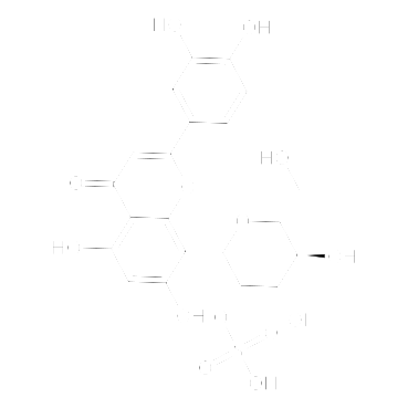 O=c1cc(-c2ccc(O)c(O)c2)oc2c([C@@H]3O[C@H](CO)[C@@H](O)[C@H](O)[C@@H]3OS(=O)(=O)O)c(O)cc(O)c12